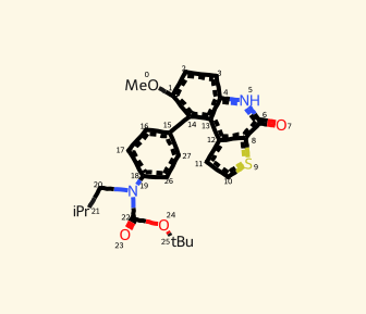 COc1ccc2[nH]c(=O)c3sccc3c2c1-c1ccc(N(CC(C)C)C(=O)OC(C)(C)C)cc1